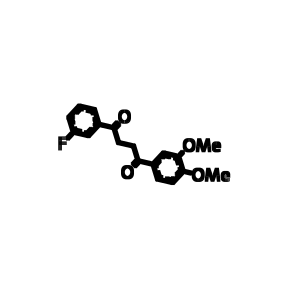 COc1ccc(C(=O)CCC(=O)c2cccc(F)c2)cc1OC